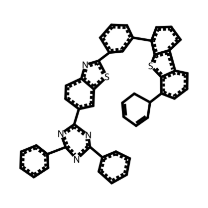 C1=CCC(c2cccc3c2sc2c(-c4cccc(-c5nc6ccc(-c7nc(-c8ccccc8)nc(-c8ccccc8)n7)cc6s5)c4)cccc23)C=C1